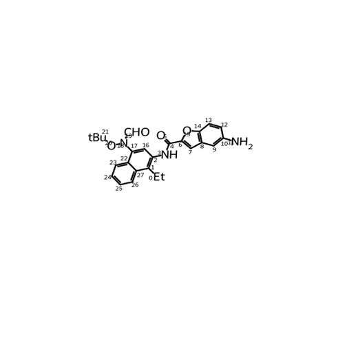 [CH2]Cc1c(NC(=O)c2cc3cc(N)ccc3o2)cc(N(C=O)OC(C)(C)C)c2ccccc12